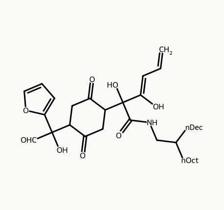 C=C/C=C(\O)C(O)(C(=O)NCC(CCCCCCCC)CCCCCCCCCC)C1CC(=O)C(C(O)(C=O)c2ccco2)CC1=O